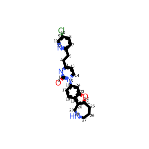 O=c1nc(CCc2ccc(Cl)cn2)ccn1-c1ccc2c3c(oc2c1)CCCNC3